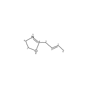 C/C=C/CC1=NCCO1